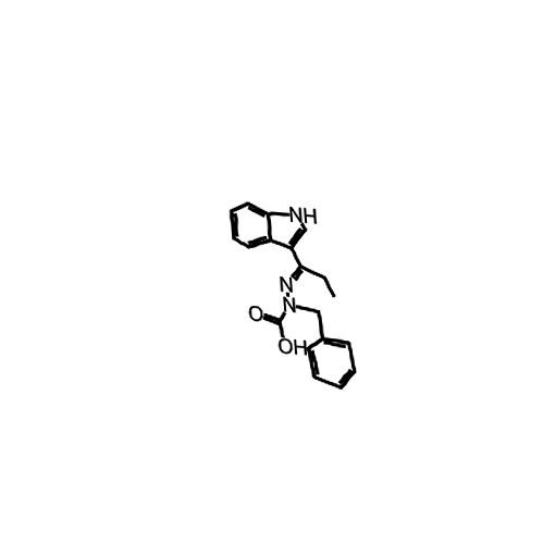 CCC(=NN(Cc1ccccc1)C(=O)O)c1c[nH]c2ccccc12